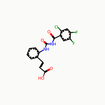 O=C(O)C=Cc1ccccc1NC(=O)NC(=O)c1cc(F)c(F)cc1Cl